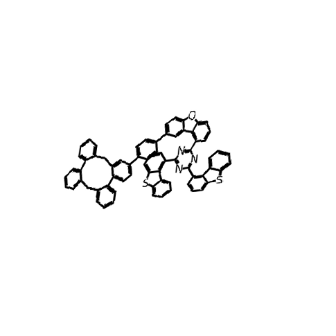 c1ccc2c(c1)Cc1ccccc1-c1ccc(-c3ccc(-c4ccc5oc6cccc(-c7nc(-c8cccc9sc%10ccccc%10c89)nc(-c8cccc9sc%10ccccc%10c89)n7)c6c5c4)cc3)cc1Cc1ccccc1-2